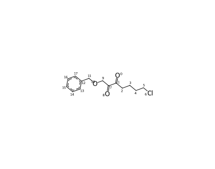 O=C(CCCCCl)C(=O)COCc1ccccc1